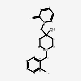 O=c1ccccn1CC1(O)CCN(Cc2ccccc2F)CC1